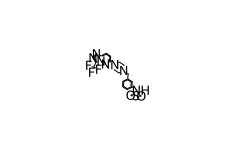 CS(=O)(=O)Nc1cccc(CN2CCN(c3ccc4nnc(C(F)(F)F)n4n3)CC2)c1